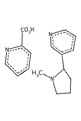 CN1CCCC1c1cccnc1.O=C(O)c1ccccn1